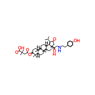 CC(C)C1=C2[C@H]3CC[C@@H]4[C@@]5(C)CC[C@H](OC(=O)CC(C)(C)C(=O)O)C(C)(C)[C@@H]5CC[C@@]4(C)[C@]3(C)CC[C@@]2([C@H](O)CNCCc2ccc(O)cc2)CC1=O